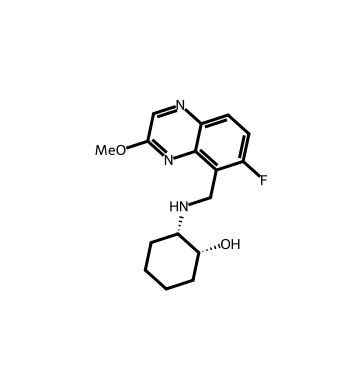 COc1cnc2ccc(F)c(CN[C@H]3CCCC[C@H]3O)c2n1